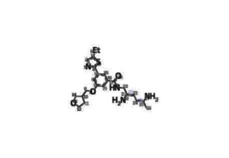 CCc1cnc(-c2cc(OCC3CCOC3)cc(C(=O)NC/C(N)=C/C=C(/C)N)c2)s1